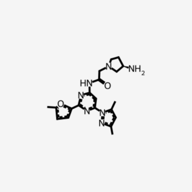 Cc1cc(C)n(-c2cc(NC(=O)CN3CC[C@@H](N)C3)nc(-c3ccc(C)o3)n2)n1